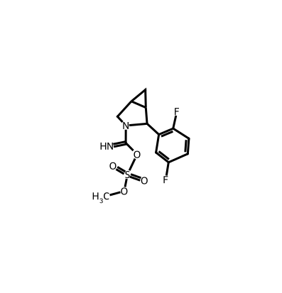 COS(=O)(=O)OC(=N)N1CC2CC2C1c1cc(F)ccc1F